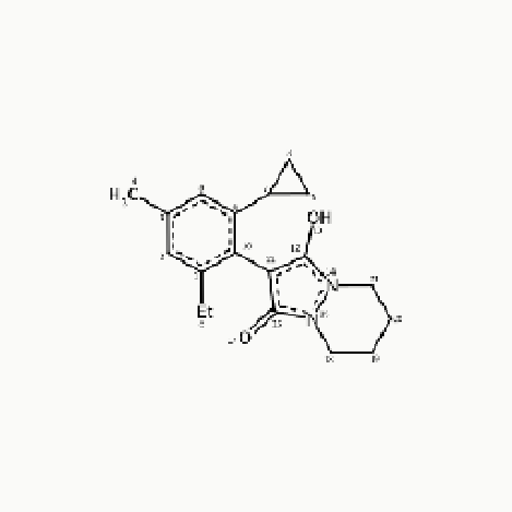 CCc1cc(C)cc(C2CC2)c1-c1c(O)n2n(c1=O)CCCC2